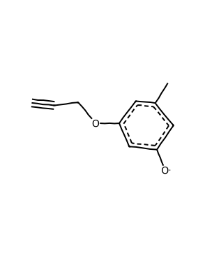 C#CCOc1cc(C)cc([O])c1